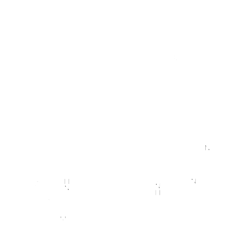 CCOc1ccc(-c2cc(Nc3cccc(CNS(C)(=O)=O)c3)ncn2)cc1